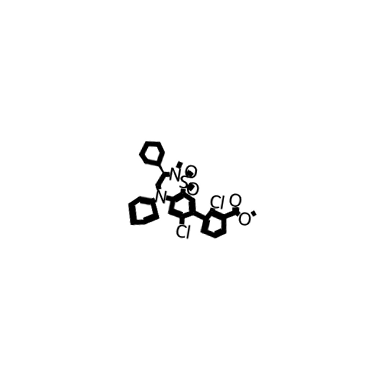 COC(=O)c1cccc(-c2cc3c(cc2Cl)N(c2ccccc2)C[C@@H](C2CCCCC2)N(C)S3(=O)=O)c1Cl